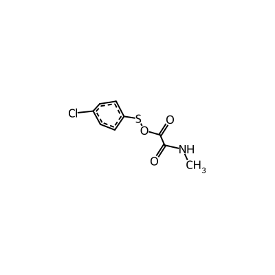 CNC(=O)C(=O)OSc1ccc(Cl)cc1